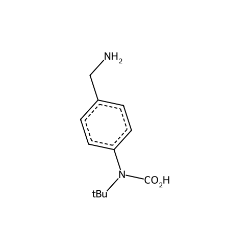 CC(C)(C)N(C(=O)O)c1ccc(CN)cc1